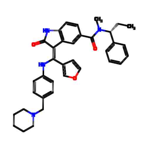 CC[C@H](c1ccccc1)N(C)C(=O)c1ccc2c(c1)/C(=C(/Nc1ccc(CN3CCCCC3)cc1)c1ccoc1)C(=O)N2